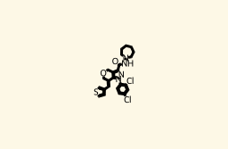 O=C(NN1CCCCCC1)c1nn(-c2ccc(Cl)cc2Cl)c2c1COCC2=Cc1ccsc1